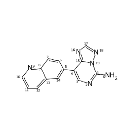 Nc1ncc(-c2ccc3ncccc3c2)c2ncnn12